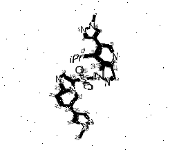 CC(C)c1c(-c2cnn(C)c2)cnc2cnn(S(=O)(=O)c3cnc4ccc(-c5cnn(C)c5)cn34)c12